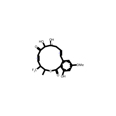 COc1cc(O)c2c(c1)/C=C/C[C@H](O)C(O)C(=O)/C=C\C(C(F)(F)F)C(C)OC2=O